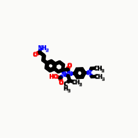 CCN(CC)c1ccc(NC(=O)C2(N(CC(C)C)C(=O)O)CCc3cc(C=CC(N)=O)ccc3C2)cc1